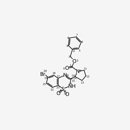 O=C(OCc1ccccc1)N1CCC[C@H]1C1=Nc2cc(Br)ccc2S(=O)(=O)N1